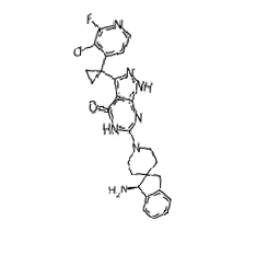 N[C@@H]1c2ccccc2CC12CCN(c1nc3[nH]nc(C4(c5ccnc(F)c5Cl)CC4)c3c(=O)[nH]1)CC2